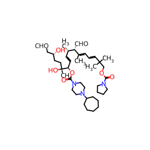 C/C(=C\C=C\C(C)(C)COC(=O)N1CCCC1)[C@@H](C=O)[C@@H](C)/C=C/[C@@H](OC(=O)N1CCN(C2CCCCCC2)CC1)[C@](C)(O)CC[C@@H](O)CC=O